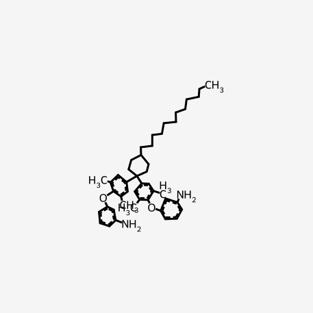 CCCCCCCCCCCCC1CCC(c2cc(C)c(Oc3cccc(N)c3)c(C)c2)(c2cc(C)c(Oc3cccc(N)c3)c(C)c2)CC1